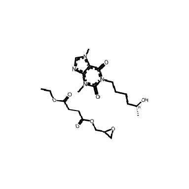 CCOC(=O)CCC(=O)OCC1CO1.C[C@@H](O)CCCCn1c(=O)c2c(ncn2C)n(C)c1=O